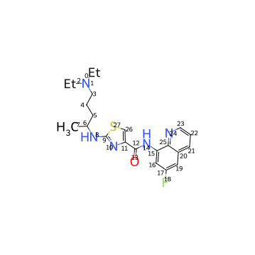 CCN(CC)CCCC(C)Nc1nc(C(=O)Nc2cc(F)cc3cccnc23)cs1